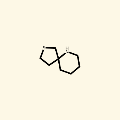 C1CCC2(CCSC2)NC1